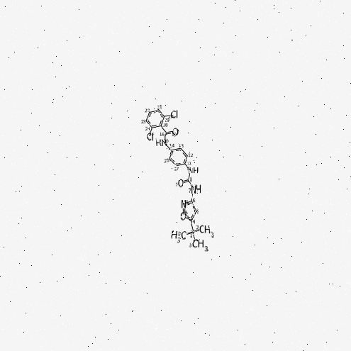 CC(C)(C)c1cc(NC(=O)Nc2ccc(NC(=O)c3c(Cl)cccc3Cl)cc2)no1